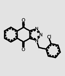 O=C1c2ccccc2C(=O)c2c1nnn2Cc1ccccc1Cl